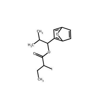 CCC(I)C(=O)OC(c1cc2ccc1o2)C(C)C